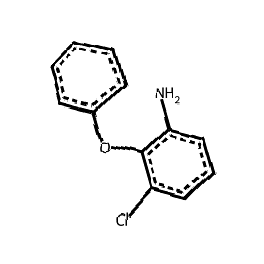 Nc1cccc(Cl)c1Oc1ccccc1